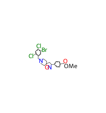 COC(=O)c1ccc(C2=NOC3(CCN(Cc4cc(Br)c(Cl)cc4Cl)CC3)C2)cc1